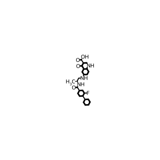 C[C@@H](CNc1ccc2[nH]cc(C(=O)O)c(=O)c2c1)NC(=O)c1ccc(-c2ccccc2)c(F)c1